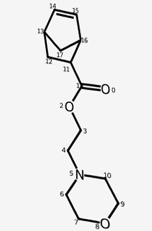 O=C(OCCN1CCOCC1)C1CC2C=CC1C2